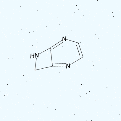 [c]1cnc2c(n1)NC2